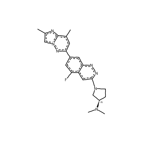 Cc1cn2nc(-c3cc(F)c4cc(N5CC[C@@H](N(C)C)C5)nnc4c3)cc(C)c2n1